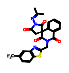 CC(C)=NN1C(=O)C[C@@]2(C(=O)N(Cc3nc4cc(C(F)(F)F)ccc4s3)C(=O)c3ccccc32)C1=O